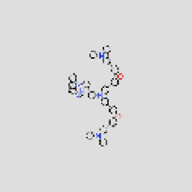 c1ccc(-c2nccn2-c2c(-c3cccc(-n4c5ccc(-c6ccc7oc8ccc(-c9ccc%10c(c9)c9ccccc9n%10-c9ccccc9)cc8c7c6)cc5c5cc(-c6ccc7oc8ccc(-c9ccc%10c(c9)c9ccccc9n%10-c9ccccc9)cc8c7c6)ccc54)c3)cccc2-n2c3ccccc3c3ccccc32)cc1